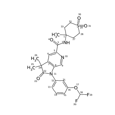 CC1(NC(=O)c2cc3c(cn2)N(c2cccc(OC(F)F)c2)C(=O)C3(C)C)CCS(=O)(=O)CC1